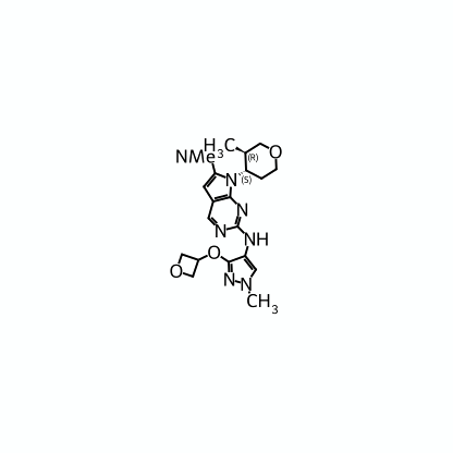 CNc1cc2cnc(Nc3cn(C)nc3OC3COC3)nc2n1[C@H]1CCOC[C@@H]1C